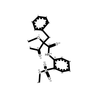 COC(Cc1ccccc1)(C(C)=O)C(=O)Nc1ccccc1S(=O)(=O)OC